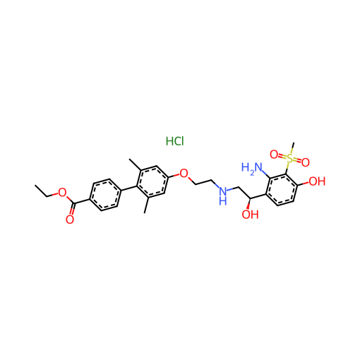 CCOC(=O)c1ccc(-c2c(C)cc(OCCNC[C@H](O)c3ccc(O)c(S(C)(=O)=O)c3N)cc2C)cc1.Cl